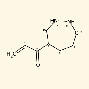 C=CC(=O)C1CCONNC1